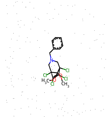 COC1(OC)C2(Cl)CN(Cc3ccccc3)CC1(Cl)C(Cl)=C2Cl